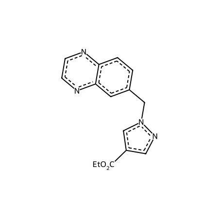 CCOC(=O)c1cnn(Cc2ccc3nccnc3c2)c1